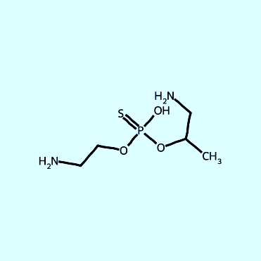 CC(CN)OP(O)(=S)OCCN